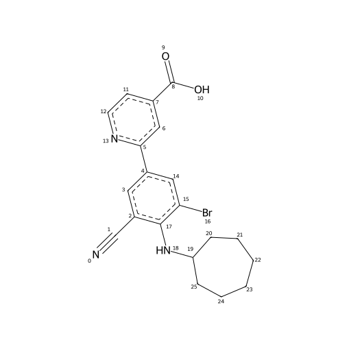 N#Cc1cc(-c2cc(C(=O)O)ccn2)cc(Br)c1NC1CCCCCC1